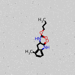 CCCCOC(=O)NC1Cc2c(C)cccc2NC1=O